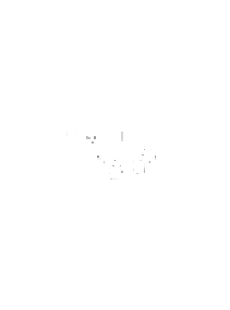 CC(C)(C)N(CC1CN(c2nccc(-c3ccc4ccccc4c3)n2)C1)C(=O)O